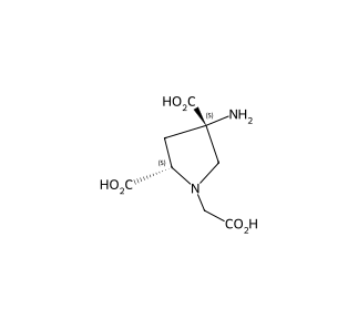 N[C@@]1(C(=O)O)C[C@@H](C(=O)O)N(CC(=O)O)C1